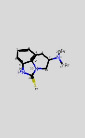 CCCN(CCC)C1Cc2cccc3[nH]c(=S)n(c23)C1